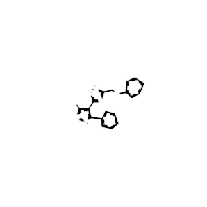 Cc1onc(-c2ccccc2)c1-c1nnc(CSc2ccccc2)o1